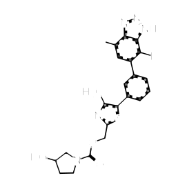 Cc1nc(COC(=O)N2CCC(O)C2)sc1-c1cccc(-c2cc(F)c3nn[nH]c3c2F)c1